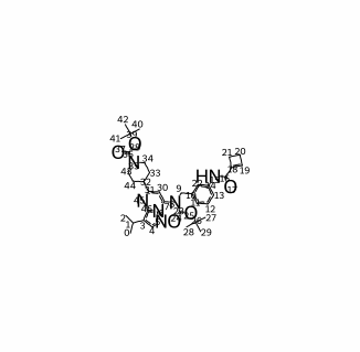 CC(C)c1cnn2c(N(Cc3cccc(NC(=O)C4=CCC4)c3)C(=O)OC(C)(C)C)cc(C3CCN(C(=O)OC(C)(C)C)CC3)nc12